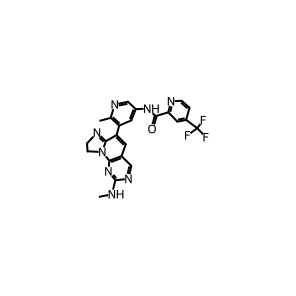 CNc1ncc2c(n1)N1CCN=C1C(c1cc(NC(=O)c3cc(C(F)(F)F)ccn3)cnc1C)=C2